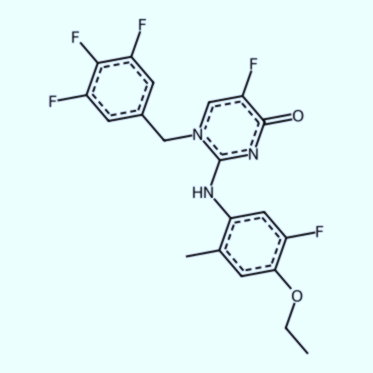 CCOc1cc(C)c(Nc2nc(=O)c(F)cn2Cc2cc(F)c(F)c(F)c2)cc1F